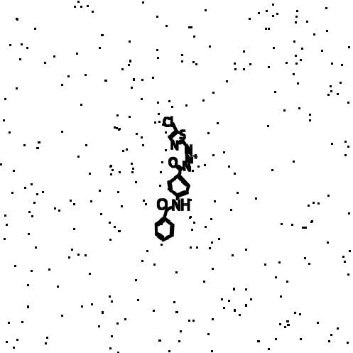 O=C(N=[N+]=Nc1ncc(Cl)s1)c1ccc(NC(=O)c2ccccc2)cc1